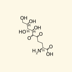 N[C@@H](CCC(=O)C(=O)[C@H](O)[C@H](O)[C@H](O)CO)C(=O)O